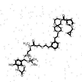 CN(CCNC[C@H](O[Si](C)(C)C(C)(C)C)c1ccc(O)c2c1OCC(=O)N2)C(=O)CCOCCc1cccc(CCN2CCC3(CC2)CN(C(=O)c2ccn(CC4CC4)n2)CCO3)c1